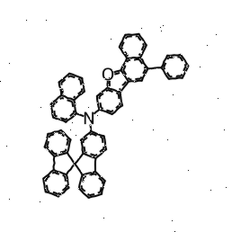 c1ccc(-c2cc3c4ccc(N(c5ccc6c(c5)C5(c7ccccc7-c7ccccc75)c5ccccc5-6)c5cccc6ccccc56)cc4oc3c3ccccc23)cc1